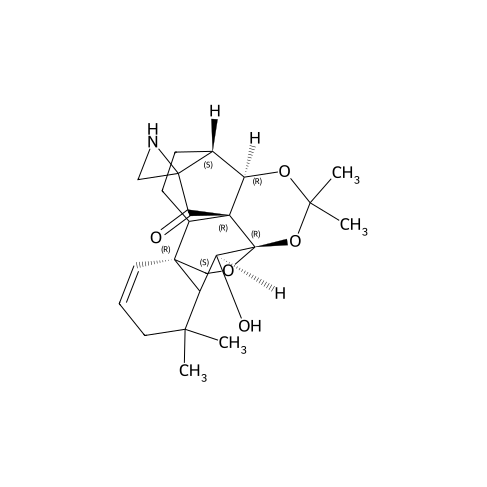 CC1(C)O[C@@H]2[C@H]3CCC4[C@]56C=CCC(C)(C)C5[C@H](O)[C@](OC6)(O1)[C@]42C(=O)C31CN1